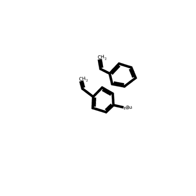 C=Cc1ccc(CCCC)cc1.C=Cc1ccccc1